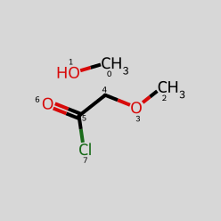 CO.COCC(=O)Cl